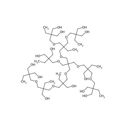 CCC(CO)(CO)COCC(CC)(CO)COCC(CC)(CO)COCC(COCC(CC)(CO)CO)(COCC(CC)(CO)COCC(CC)(CO)CO)COCC(CC)(COCC(CC)(CO)CO)COCC(CC)(CO)CO